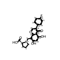 O=C(O)[C@@H]1CCCN1Cc1c(O)cc(O)c2c(=O)c(-c3ccc(F)cc3)coc12